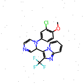 COc1ccc(N2C=CN=CC2c2c(C(F)(F)F)nc3ccccn23)cc1Cl